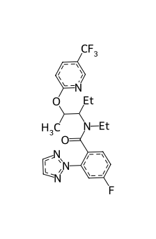 CCC(C(C)Oc1ccc(C(F)(F)F)cn1)N(CC)C(=O)c1ccc(F)cc1-n1nccn1